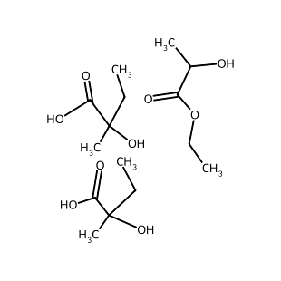 CCC(C)(O)C(=O)O.CCC(C)(O)C(=O)O.CCOC(=O)C(C)O